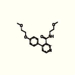 COCCNC(=O)c1[c]nccc1-c1ccc(OCCOC)cc1